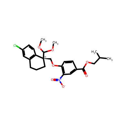 COC(OC)[C@]1(COc2ccc(C(=O)OCC(C)C)cc2[N+](=O)[O-])CCCc2cc(Cl)ccc21